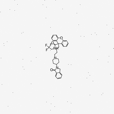 O=C1c2ccccc2CN1C1CCN(CCCCC2(C(=O)NCC(F)(F)F)c3ccccc3Oc3ccccc32)CC1